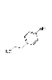 CCCc1ccc(CCC#N)cc1